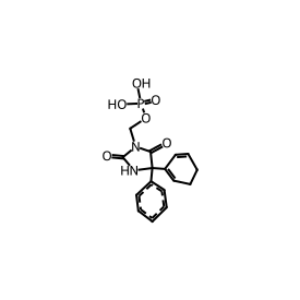 O=C1NC(C2=CCCC=C2)(c2ccccc2)C(=O)N1COP(=O)(O)O